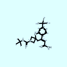 CC(C)(C)OC(=O)N1CC2(C/C(=C\C(=O)O)c3ccc(C(F)(F)F)cc3O2)C1